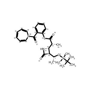 C[C@@H](O[Si](C)(C)C(C)(C)C)[C@H]1C(=O)N[C@@H]1[C@@H](C)C(=O)Sc1ccccc1C(=O)N1C=CC=CC=C1